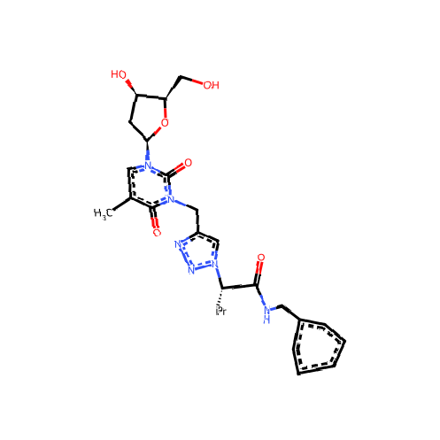 Cc1cn([C@H]2C[C@@H](O)[C@@H](CO)O2)c(=O)n(Cc2cn([C@H](C(=O)NCc3ccccc3)C(C)C)nn2)c1=O